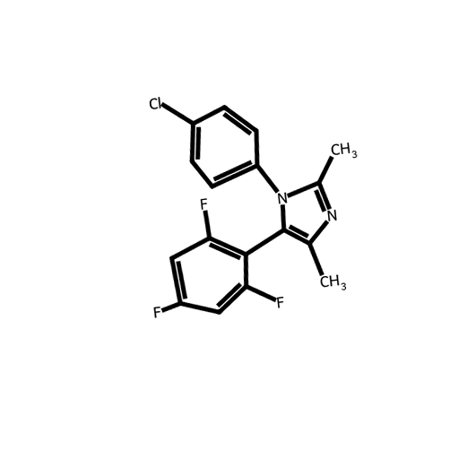 Cc1nc(C)n(-c2ccc(Cl)cc2)c1-c1c(F)cc(F)cc1F